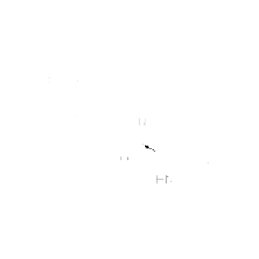 O=C(Nc1ccc(Cl)cc1)[C@H]1CCCN1